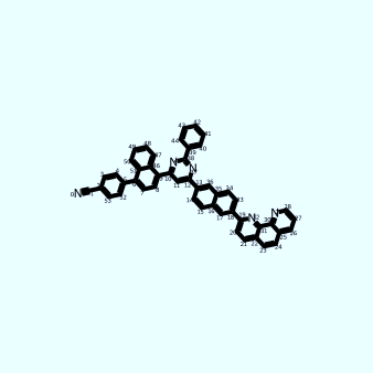 N#Cc1ccc(-c2ccc(-c3cc(-c4ccc5cc(-c6ccc7ccc8cccnc8c7n6)ccc5c4)nc(-c4ccccc4)n3)c3ccccc23)cc1